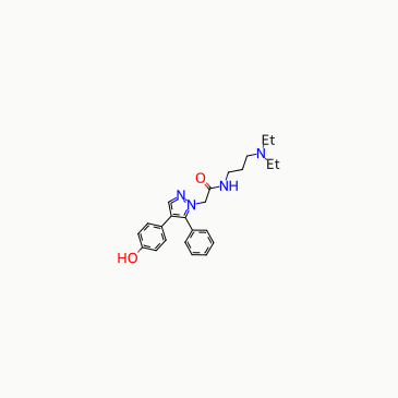 CCN(CC)CCCNC(=O)Cn1ncc(-c2ccc(O)cc2)c1-c1ccccc1